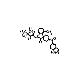 Cc1cccc2c1C1(CCN(C(=O)c3ccc4[nH]ncc4c3)CC1)C(=O)N2CC(=O)NC(C)(C)C#N